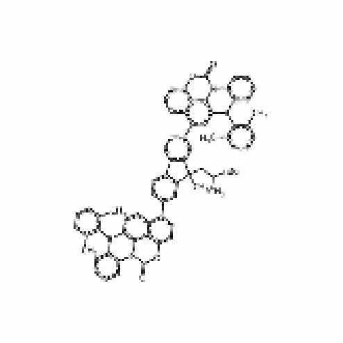 CCCCC(C)CC1(C)c2cc(-c3ccc4c5c6c(ccc35)B(c3c(C)cccc3C)c3ccccc3N6C(=O)O4)ccc2-c2ccc(-c3cc4c5c6c(cccc36)OC(=O)N5c3ccccc3B4c3c(C)cccc3C)cc21